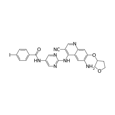 N#Cc1cnc2cc(OC3CCOC3)c(N)cc2c1Nc1ncc(NC(=O)c2ccc(I)cc2)cn1